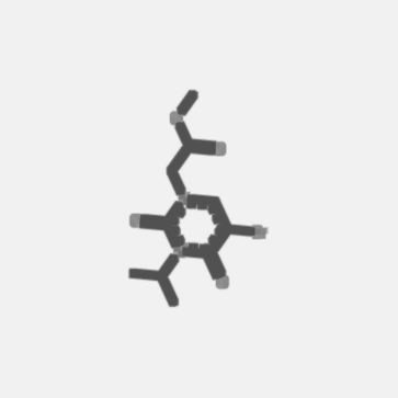 COC(=O)Cn1cc(Br)c(=O)n(C(C)C)c1=O